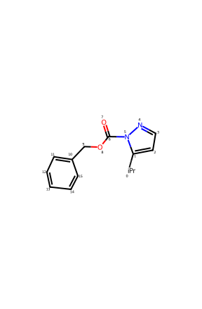 CC(C)c1ccnn1C(=O)OCc1ccccc1